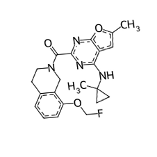 Cc1cc2c(NC3(C)CC3)nc(C(=O)N3CCc4cccc(OCF)c4C3)nc2o1